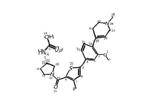 COc1cc(-c2cc(C)c(C(=O)N3CC[C@H](NC(=O)O)C3)s2)ccc1C1=CCN(C)CC1